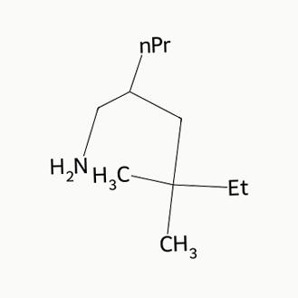 CCCC(CN)CC(C)(C)CC